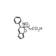 O=C(O)CCC1([N+](=O)[O-])OC2=CC=CC2=CC1c1ccccc1